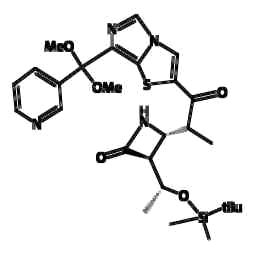 COC(OC)(c1cccnc1)c1ncn2cc(C(=O)C(C)[C@H]3NC(=O)[C@@H]3[C@@H](C)O[Si](C)(C)C(C)(C)C)sc12